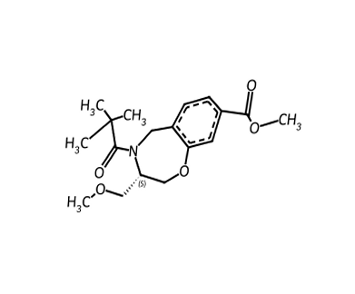 COC[C@H]1COc2cc(C(=O)OC)ccc2CN1C(=O)C(C)(C)C